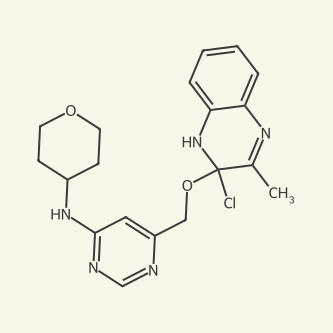 CC1=Nc2ccccc2NC1(Cl)OCc1cc(NC2CCOCC2)ncn1